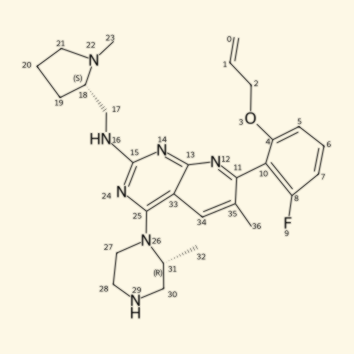 C=CCOc1cccc(F)c1-c1nc2nc(NC[C@@H]3CCCN3C)nc(N3CCNC[C@H]3C)c2cc1C